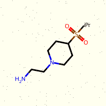 CC(C)S(=O)(=O)C1CCN(CCN)CC1